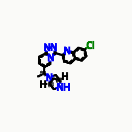 C[C@@H](c1ccc2nnc(-c3ccc4ccc(Cl)cc4n3)n2c1)N1C[C@@H]2C[C@H]1CN2